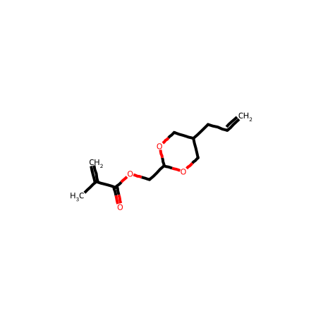 C=CCC1COC(COC(=O)C(=C)C)OC1